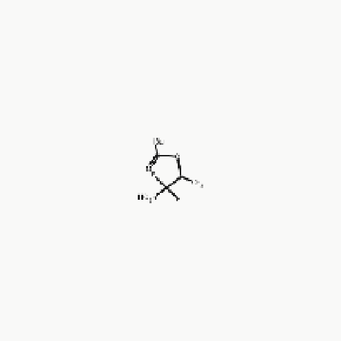 CCC(C)C(=O)OC(C(F)(F)F)C(F)(F)S(=O)(=O)O